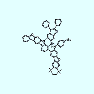 CC(C)(C)c1ccc(Nc2cc3oc4cc5c(cc4c3cc2-c2ccc3c4cc6c(cc4n4c3c2Bc2cc3oc(-c7ccccc7)c(-c7ccccc7)c3cc2-4)oc2ccccc26)C(C)(C)CCC5(C)C)cc1